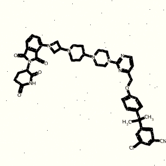 CC(C)(c1ccc(OCc2ccnc(N3CCN(C4CCN(C5CN(c6cccc7c6C(=O)N(C6CCC(=O)NC6=O)C7=O)C5)CC4)CC3)n2)cc1)c1cc(Cl)cc(C#N)c1